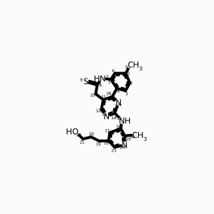 Cc1ccc2c(c1)NC(=S)Cc1cnc(Nc3cc(CCCO)cnc3C)nc1-2